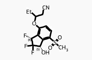 CCC(CC#N)Oc1ccc(S(C)(=O)=O)c2c1[C@@H](F)C(F)(F)[C@H]2O